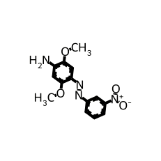 COc1cc(/N=N/c2cccc([N+](=O)[O-])c2)c(OC)cc1N